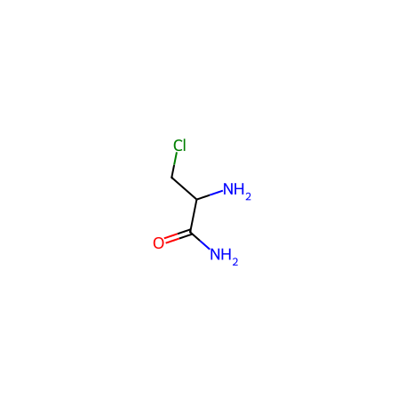 NC(=O)C(N)CCl